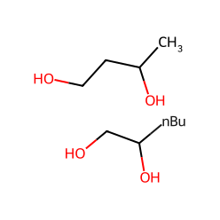 CC(O)CCO.CCCCC(O)CO